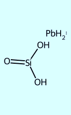 O=[Si](O)O.[PbH2]